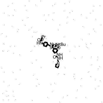 CC(C)OC(=O)Nc1ccc(-c2ncc(-c3ccc(NC(=O)NCCN4CCCC4)cc3S(=O)(=O)NC(C)(C)C)s2)cc1